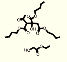 CCCCOC(=O)CC(O)(C(=O)OCCCC)C(C(C)=O)C(=O)OCCCC.CCOC(=O)CO